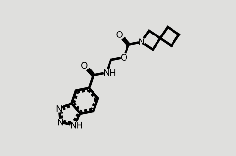 O=C(NCOC(=O)N1CC2(CCC2)C1)c1ccc2[nH]nnc2c1